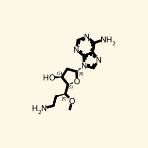 CO[C@@H](CCN)[C@H]1O[C@@H](n2cnc3c(N)ncnc32)C[C@@H]1O